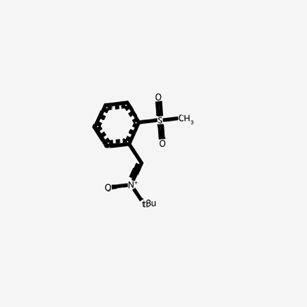 CC(C)(C)[N+]([O-])=Cc1ccccc1S(C)(=O)=O